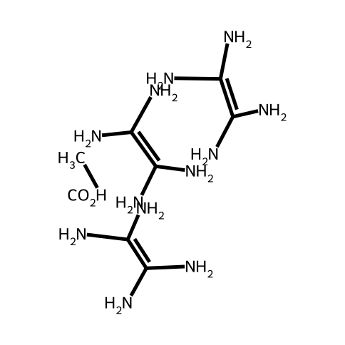 CC(=O)O.NC(N)=C(N)N.NC(N)=C(N)N.NC(N)=C(N)N